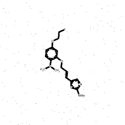 CNc1ncc(/C=C/COc2cc(OCCF)ccc2N(C)C)s1